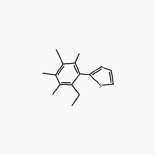 CCc1c(C)c(C)c(C)c(C)c1-c1cccs1